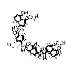 Cc1cc(S(=O)(=O)Nc2ccc(S(=O)(=O)O)c3c(O)cccc23)ccc1NC(=O)Nc1ccc(S(=O)(=O)Nc2ccc(S(=O)(=O)O)c3c(O)cccc23)cc1C